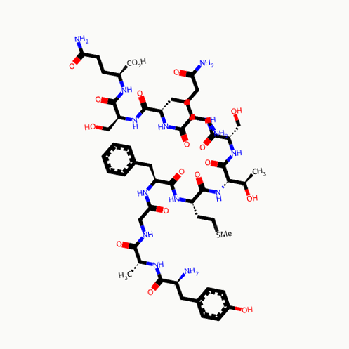 CSCC[C@H](NC(=O)[C@H](Cc1ccccc1)NC(=O)CNC(=O)[C@@H](C)NC(=O)[C@@H](N)Cc1ccc(O)cc1)C(=O)N[C@H](C(=O)N[C@@H](CO)C(=O)N[C@@H](CCC(N)=O)C(=O)N[C@@H](CCCCN)C(=O)N[C@@H](CO)C(=O)N[C@@H](CCC(N)=O)C(=O)O)[C@@H](C)O